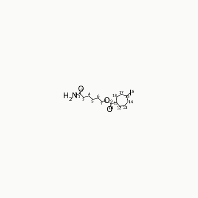 NC(=O)CCCCCOC(=O)C1CCCC(I)CC1